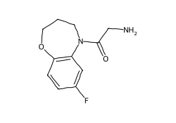 NCC(=O)N1CCCOc2ccc(F)cc21